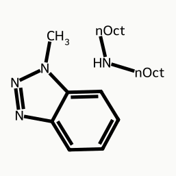 CCCCCCCCNCCCCCCCC.Cn1nnc2ccccc21